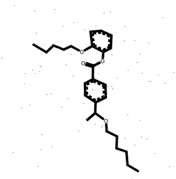 CCCCCCOC(C)c1ccc(C(=O)Oc2ccccc2OCCCCC)cc1